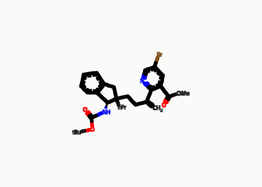 C=C(CCC1(CCC)Cc2ccccc2[C@H]1NC(=O)OC(C)(C)C)c1ncc(Br)cc1C(=O)OC